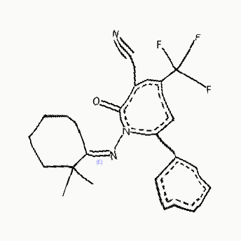 CC1(C)CCCC/C1=N\n1c(-c2ccccc2)cc(C(F)(F)F)c(C#N)c1=O